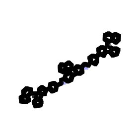 C(=C\c1ccc2c(c1)C1(CCc3ccccc31)c1cc(/C=C/c3ccc(-c4ccc5c(c4)c4ccccc4n5-c4cccc5ccccc45)cc3)ccc1-2)/c1ccc(-c2ccc3c(c2)c2ccccc2n3-c2cccc3ccccc23)cc1